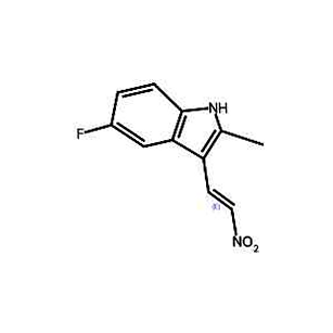 Cc1[nH]c2ccc(F)cc2c1/C=C/[N+](=O)[O-]